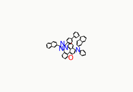 c1ccc(-c2ccc(-c3nc(-c4ccc5ccccc5c4)nc(-c4cccc5oc6cc(N(c7ccccc7)c7ccc8ccccc8c7)c7ccccc7c6c45)n3)cc2)cc1